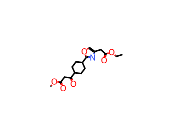 CCOC(=O)Cc1coc(C2CCC(C(=O)CC(=O)OC)CC2)n1